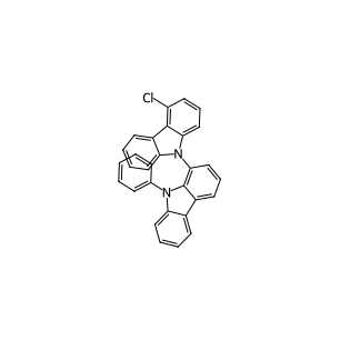 Clc1cccc2c1c1ccccc1n2-c1cccc2c3ccccc3n(-c3ccccc3)c12